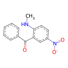 CNc1ccc([N+](=O)[O-])cc1C(=O)c1ccccc1